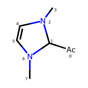 CC(=O)C1N(C)C=CN1C